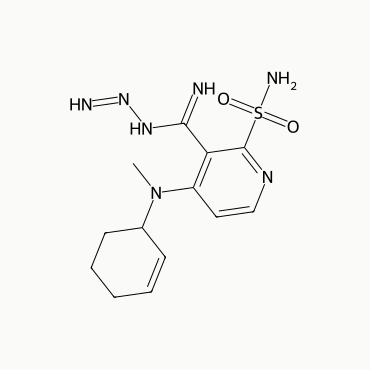 CN(c1ccnc(S(N)(=O)=O)c1C(=N)NN=N)C1C=CCCC1